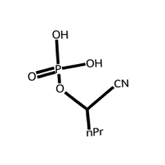 CCCC(C#N)OP(=O)(O)O